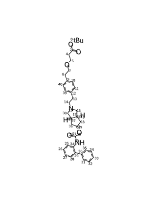 CC(C)(C)OC(=O)CCOCCc1ccc(CCN2C[C@H]3C[C@H](OC(=O)Nc4ccccc4-c4ccccc4)C[C@H]3C2)cc1